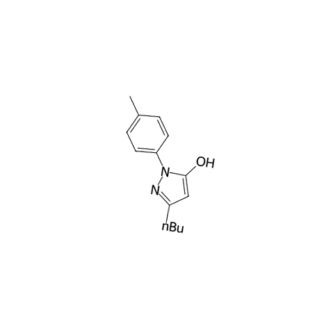 CCCCc1cc(O)n(-c2ccc(C)cc2)n1